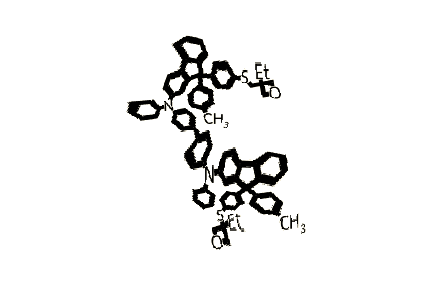 CCC1(CSc2ccc(C3(c4ccc(C)cc4)c4ccccc4-c4ccc(N(c5ccccc5)c5ccc(-c6ccc(N(c7ccccc7)c7ccc8c(c7)C(c7ccc(C)cc7)(c7ccc(SC9(CC)COC9)cc7)c7ccccc7-8)cc6)cc5)cc43)cc2)COC1